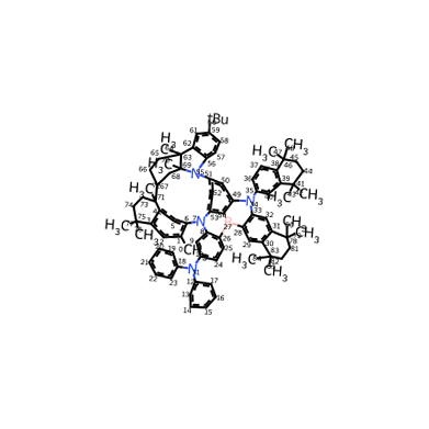 Cc1cc2c3cc1N1c4cc(N(c5ccccc5)c5ccccc5)ccc4B4c5cc6c(cc5N(c5ccc7c(c5)C(C)(C)CCC7(C)C)c5cc(cc1c54)N1c4ccc(C(C)(C)C)cc4C4(C)CCC(CC14C)C3(C)CCC2(C)C)C(C)(C)CCC6(C)C